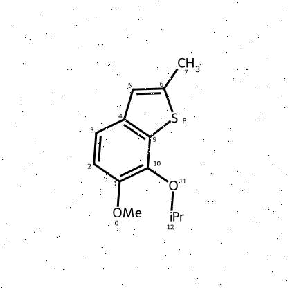 COc1ccc2cc(C)sc2c1OC(C)C